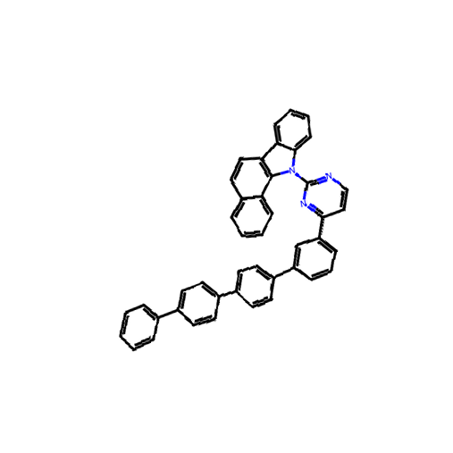 c1ccc(-c2ccc(-c3ccc(-c4cccc(-c5ccnc(-n6c7ccccc7c7ccc8ccccc8c76)n5)c4)cc3)cc2)cc1